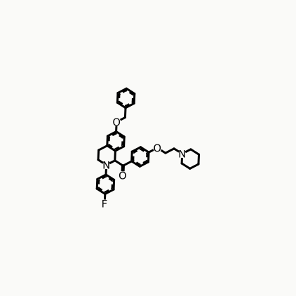 O=C(c1ccc(OCCN2CCCCC2)cc1)C1c2ccc(OCc3ccccc3)cc2CCN1c1ccc(F)cc1